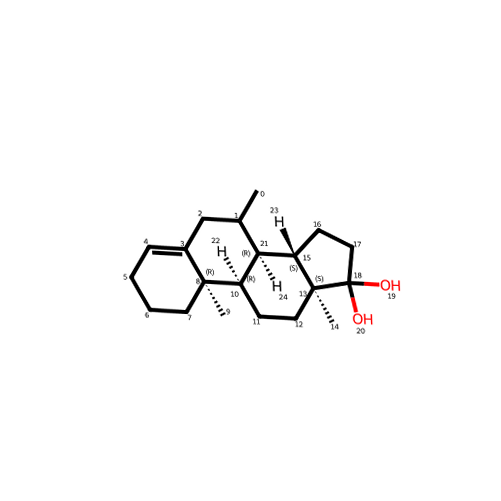 CC1CC2=CCCC[C@]2(C)[C@@H]2CC[C@@]3(C)[C@@H](CCC3(O)O)[C@H]12